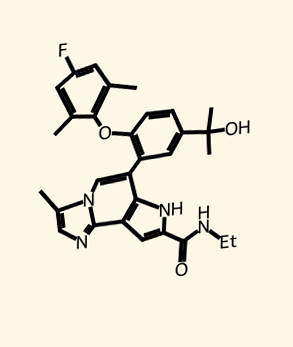 CCNC(=O)c1cc2c([nH]1)c(-c1cc(C(C)(C)O)ccc1Oc1c(C)cc(F)cc1C)cn1c(C)cnc21